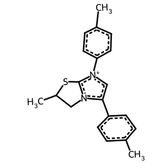 Cc1ccc(-c2c[n+](-c3ccc(C)cc3)c3n2CC(C)S3)cc1